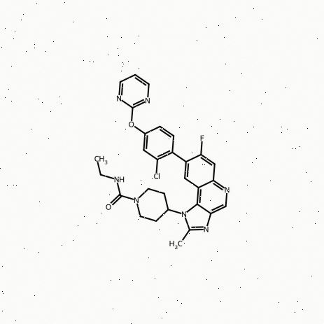 CCNC(=O)N1CCC(n2c(C)nc3cnc4cc(F)c(-c5ccc(Oc6ncccn6)cc5Cl)cc4c32)CC1